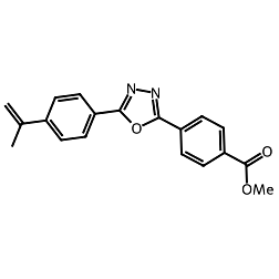 C=C(C)c1ccc(-c2nnc(-c3ccc(C(=O)OC)cc3)o2)cc1